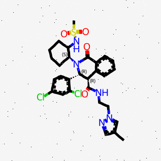 Cc1cnn(CCNC(=O)[C@@H]2c3ccccc3C(=O)N([C@H]3CCCCC3NS(C)(=O)=O)[C@H]2c2ccc(Cl)cc2Cl)c1